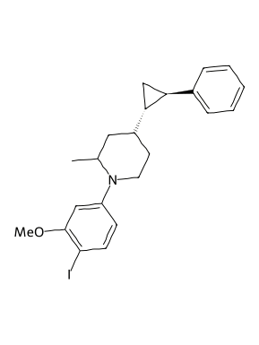 COc1cc(N2CCC([C@@H]3C[C@H]3c3ccccc3)CC2C)ccc1I